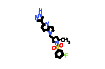 C[C@@H]1CC(Cn2ccc3nc(-c4cn[nH]c4)ccc32)CN1S(=O)(=O)c1cccc(F)c1